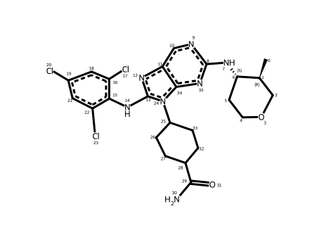 C[C@H]1COCC[C@@H]1Nc1ncc2nc(Nc3c(Cl)cc(Cl)cc3Cl)n(C3CCC(C(N)=O)CC3)c2n1